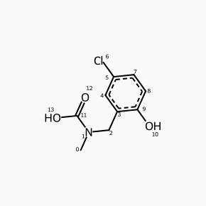 CN(Cc1cc(Cl)ccc1O)C(=O)O